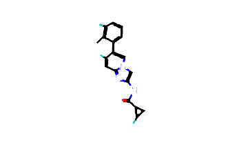 Cc1c(F)cccc1-c1cn2cc(NC(=O)C3CC3F)nc2cc1F